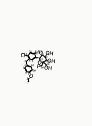 CCOc1ccc(Cc2cc([C@@H]3OC(CO)(CF)[C@@H](O)[C@H](O)[C@H]3O)ccc2Cl)cc1